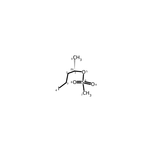 C[C@@H](CCI)OS(C)(=O)=O